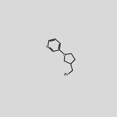 CC(C)CC1CCN(c2cccnc2)C1